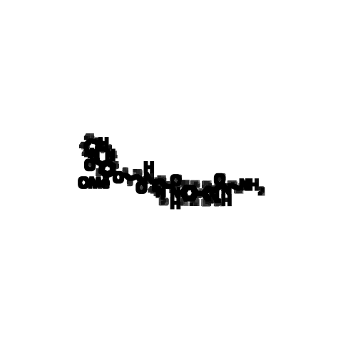 COc1cc2c(cc1OCCCC(=O)Nc1cc(C(=O)Nc3ccc(-c4cc(C(=O)NCCN)n(C)c4)cc3)n(C)c1)N=C[C@@H]1CCCCN1C2=O